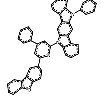 c1ccc(-c2cc(-c3ccc4oc5ccccc5c4c3)nc(-n3c4ccccc4c4cc5c(cc43)c3ccccc3n5-c3ccccc3)c2)cc1